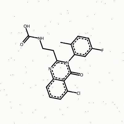 Cc1ccc(F)cc1-n1c(CCNC(=O)O)nc2cccc(Cl)c2c1=O